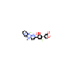 CN(c1ccc(-c2cc(F)c(-c3ccoc(=O)c3)cc2O)nn1)[C@H]1CC2CCC(N2)[C@H]1F